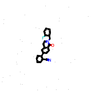 N#Cc1ccccc1-c1ccc2c(=O)n(Cc3ccccc3F)ccc2c1